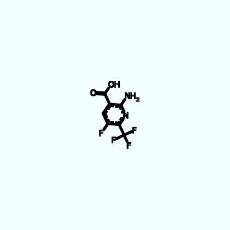 Nc1nc(C(F)(F)F)c(F)cc1C(=O)O